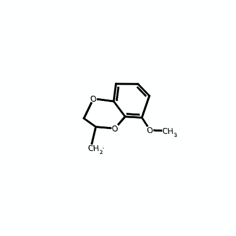 [CH2]C1COc2cccc(OC)c2O1